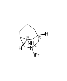 CC(C)N1CC2CCC[C@@H](C[C@@H]2N)C1